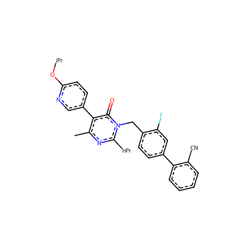 CCCc1nc(C)c(-c2ccc(OC(C)C)nc2)c(=O)n1Cc1ccc(-c2ccccc2C#N)cc1F